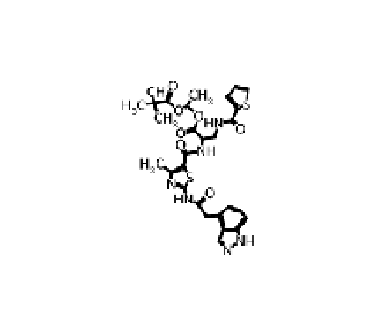 Cc1nc(NC(=O)Cc2cccc3[nH]ncc23)sc1C(=O)NC(CNC(=O)c1cccs1)C(=O)OC(C)OC(=O)C(C)(C)C